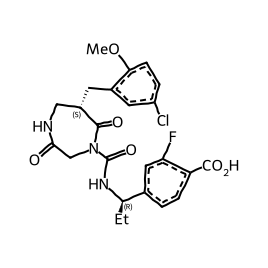 CC[C@@H](NC(=O)N1CC(=O)NC[C@H](Cc2cc(Cl)ccc2OC)C1=O)c1ccc(C(=O)O)c(F)c1